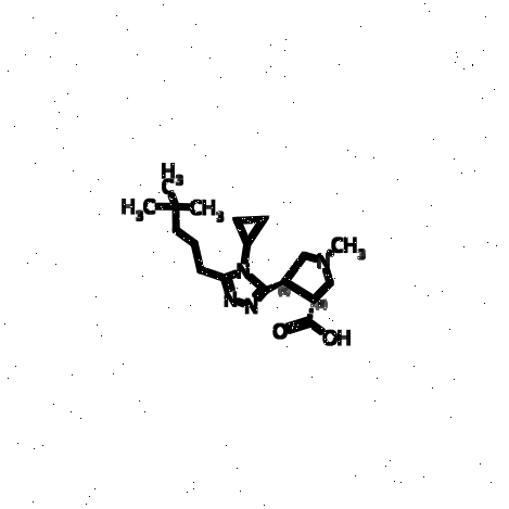 CN1C[C@H](C(=O)O)[C@@H](c2nnc(CCCC(C)(C)C)n2C2CC2)C1